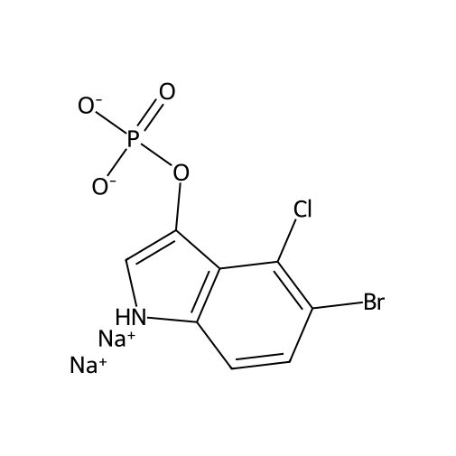 O=P([O-])([O-])Oc1c[nH]c2ccc(Br)c(Cl)c12.[Na+].[Na+]